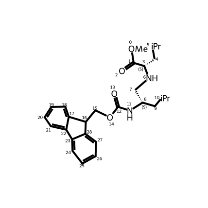 COC(=O)[C@H](CC(C)C)NC[C@H](CC(C)C)NC(=O)OCC1c2ccccc2-c2ccccc21